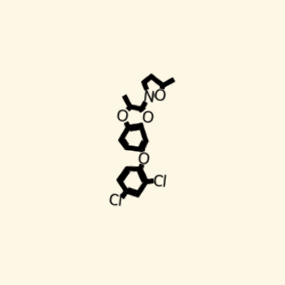 CC1CCN(C(=O)C(C)Oc2ccc(Oc3ccc(Cl)cc3Cl)cc2)O1